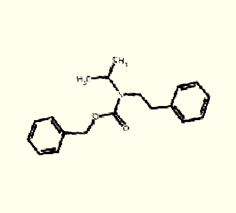 CC(C)N(CCc1ccccc1)C(=O)OCc1ccccc1